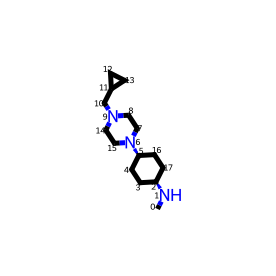 CN[C@H]1CC[C@@H](N2CCN(CC3CC3)CC2)CC1